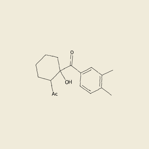 CC(=O)C1CCCCC1(O)C(=O)c1ccc(C)c(C)c1